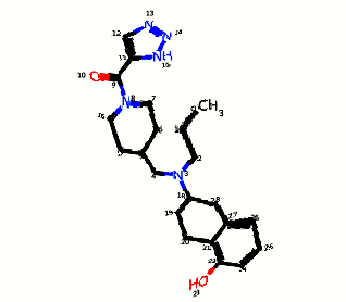 CCCN(CC1CCN(C(=O)c2cnn[nH]2)CC1)C1CCc2c(O)cccc2C1